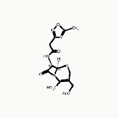 CC(=O)OCC1=C(C(=O)O)N2C(=O)[C@@H](NC(=O)Cc3noc(C)n3)[C@H]2SC1